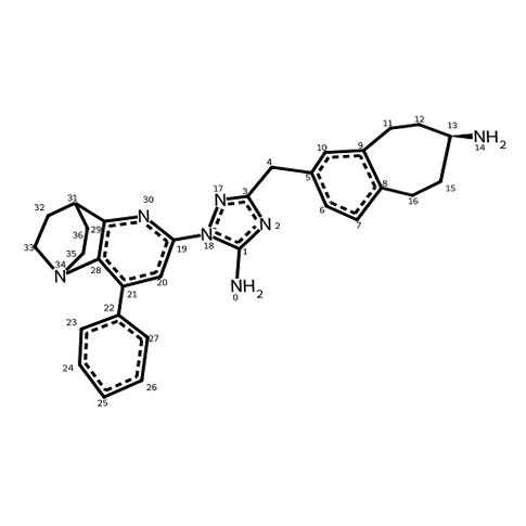 Nc1nc(Cc2ccc3c(c2)CC[C@@H](N)CC3)nn1-c1cc(-c2ccccc2)c2c(n1)C1CCN2CC1